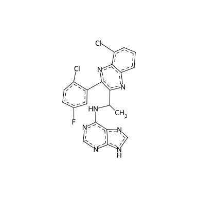 CC(Nc1ncnc2[nH]cnc12)c1nc2cccc(Cl)c2nc1-c1cc(F)ccc1Cl